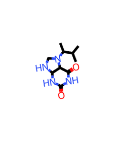 CC(C)C(C)N1CNC2NC(=O)NC(=O)C21